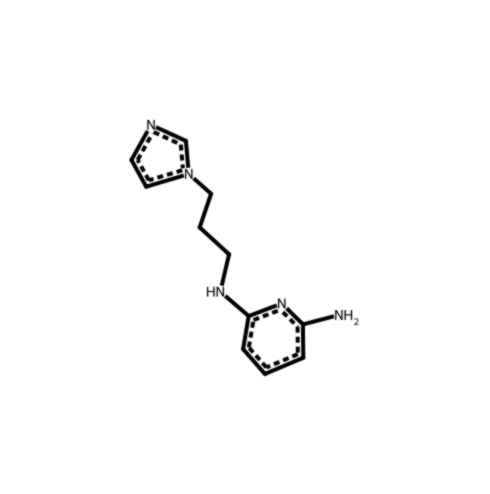 Nc1cccc(NCCCn2ccnc2)n1